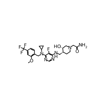 COc1cc(C(F)(F)F)ccc1CN(c1ncnc(NC[C@@H]2CCN(CC(N)=O)C[C@H]2O)c1F)C1CC1